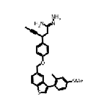 CC#CC(C/C(N)=N/N)c1ccc(OCc2ccc3scc(-c4ccc(SC)cc4C)c3c2)cc1